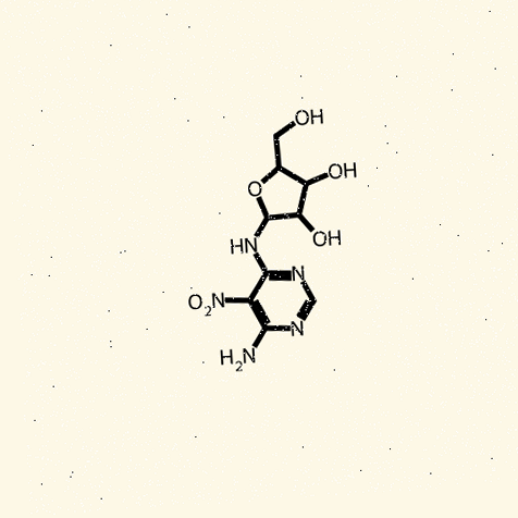 Nc1ncnc(NC2OC(CO)C(O)C2O)c1[N+](=O)[O-]